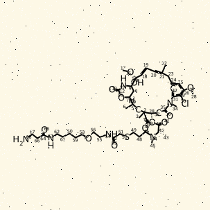 C#CC1(C)CC(C)[C@@H]2C[C@@](O)(NC(=O)O2)[C@H](OC)/C=C/C=C(\C)Cc2cc(OC)c(Cl)c(c2)N(C)C(=O)C[C@@H]1OC(=O)[C@H](C)N(C)C(=O)CCSCC(=O)NCCOCCCCCNC(=O)CCN